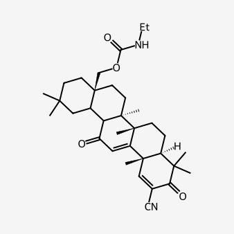 CCNC(=O)OC[C@]12CCC(C)(C)CC1C1C(=O)C=C3[C@@]4(C)C=C(C#N)C(=O)C(C)(C)[C@@H]4CC[C@@]3(C)[C@]1(C)CC2